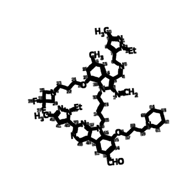 C=Nc1c(/C=N\Cc2cc(C)nn2CC)c2cc(C)cc(OCCCN3CC(F)(F)C3)c2n1C/C=C/Cn1c2nc(-c3cc(C)nn3CC)ncc2c2cc(C=O)cc(OCCCN3CCCCC3)c21